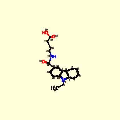 CCn1c2ccccc2c2cc(C(=O)NCCCC(=O)O)ccc21